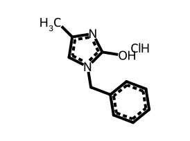 Cc1cn(Cc2ccccc2)c(O)n1.Cl